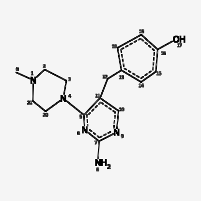 CN1CCN(c2nc(N)ncc2Cc2ccc(O)cc2)CC1